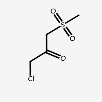 CS(=O)(=O)CC(=O)CCl